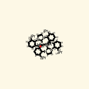 CC(C)c1cccc(C(C)C)c1N1C=CN(c2c(C(C)C)cccc2C(C)C)C1[SiH](Cl)[SiH](Cl)C1N(c2c(C(C)C)cccc2C(C)C)C=CN1c1c(C(C)C)cccc1C(C)C